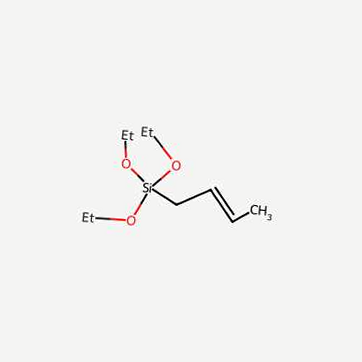 C/C=C/C[Si](OCC)(OCC)OCC